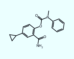 CN(C(=O)Oc1ccc(C2CC2)cc1C(N)=O)c1ccccc1